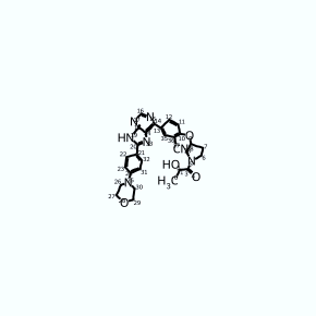 CC(O)C(=O)N1CCC(Oc2ccc(-c3ncnc4[nH]c(-c5ccc(N6CCOCC6)cc5)nc34)cc2C#N)C1